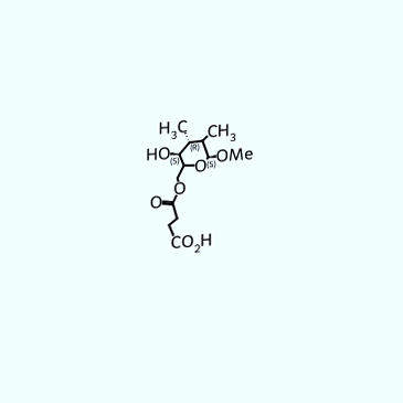 CO[C@H]1OC(COC(=O)CCC(=O)O)[C@@H](O)[C@H](C)C1C